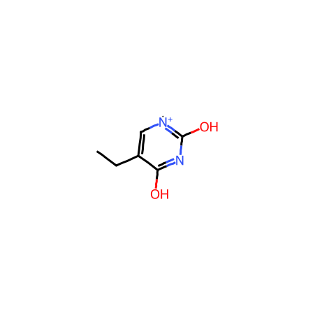 CCC1=C[N+]=C(O)N=C1O